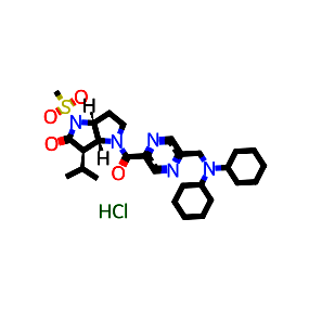 CC(C)[C@H]1C(=O)N(S(C)(=O)=O)[C@H]2CCN(C(=O)c3cnc(CN(C4CCCCC4)C4CCCCC4)cn3)[C@H]12.Cl